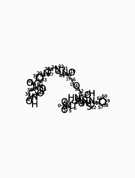 CS(=O)(=O)N1CCC(C(=O)N[C@@H](CCOCCCC(=O)N2CCN(CC3CN(c4ccc5c(c4)C(=O)N(C4CCC(=O)NC4=O)C5=O)C3)CC2)C(=O)NC2NC(c3ccccc3)CS2)C1